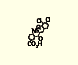 CN1c2ccc(C(=O)O)cc2C(=O)/C(=C/c2ccc(Cl)c(Cl)c2)[S+]1[O-]